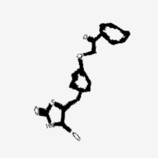 O=C1NC(=O)C(Cc2ccc(OCC(=O)c3ccccc3)cc2)S1